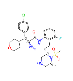 C[C@@H]1CNC[C@H](CCc2c(F)cccc2NC(=O)[C@@H](N)[C@@H](c2ccc(Cl)cc2)C2CCOCC2)N1S(C)(=O)=O